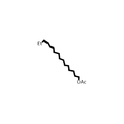 CC/C=C\C=C\CCCCCCCCCCOC(C)=O